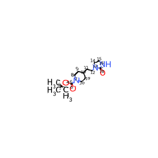 CC(C)(C)OC(=O)N1CCC(CCN2CCNC2=O)CC1